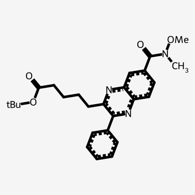 CON(C)C(=O)c1ccc2nc(-c3ccccc3)c(CCCCC(=O)OC(C)(C)C)nc2c1